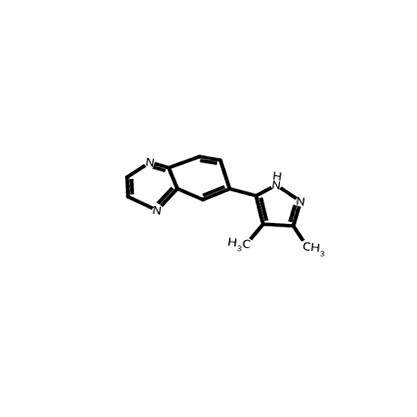 Cc1n[nH]c(-c2ccc3nccnc3c2)c1C